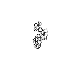 COC(=O)c1cc(Cl)c(NC(=O)N[C@@H](C)c2ncnn2-c2ncccn2)cc1OC